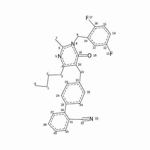 CCCCc1nc(C)n(Cc2cc(F)ccc2F)c(=O)c1Cc1ccc(-c2ccccc2C#N)cc1